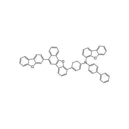 C1=C(c2cccc3c2oc2c4ccccc4c(-c4ccc5c(c4)oc4ccccc45)cc32)CCC(N(c2ccc(-c3ccccc3)cc2)c2cccc3c2oc2ccccc23)=C1